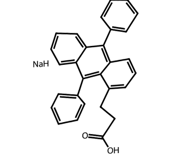 O=C(O)CCc1cccc2c(-c3ccccc3)c3ccccc3c(-c3ccccc3)c12.[NaH]